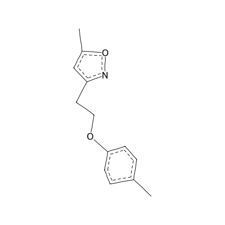 Cc1ccc(OCCc2cc(C)on2)cc1